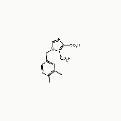 Cc1ccc(Cn2cnc(C(=O)O)c2C(=O)O)cc1C